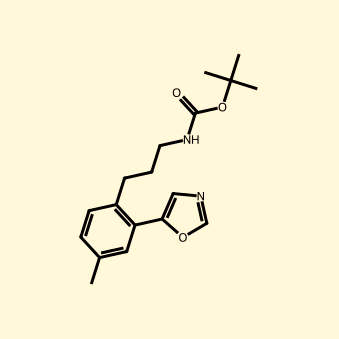 Cc1ccc(CCCNC(=O)OC(C)(C)C)c(-c2cnco2)c1